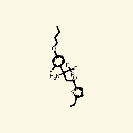 CCCCOc1ccc([C@@](N)(CC(=O)c2ccc(CC)s2)C(F)(F)F)c(F)c1